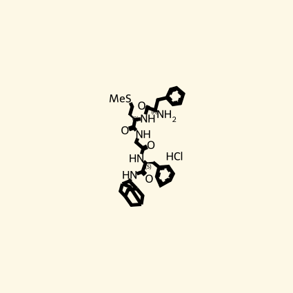 CSCC[C@@H](NC(=O)[C@H](N)Cc1ccccc1)C(=O)NCC(=O)N[C@@H](Cc1ccccc1)C(=O)NC1C2CC3CC(C2)CC1C3.Cl